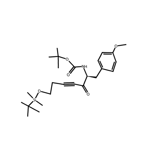 COc1ccc(C[C@H](NC(=O)OC(C)(C)C)C(=O)C#CCCO[Si](C)(C)C(C)(C)C)cc1